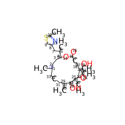 C/C1=C/C[C@@H](C(C)Cc2csc(C)n2)OC(=O)C[C@H](O)C(C)(C)C(=O)[C@H](C)[C@@H](O)[C@@H](C)CCC1